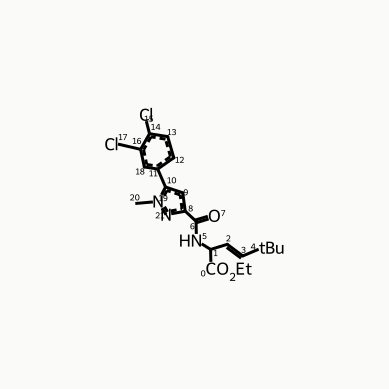 CCOC(=O)C(/C=C/C(C)(C)C)NC(=O)c1cc(-c2ccc(Cl)c(Cl)c2)n(C)n1